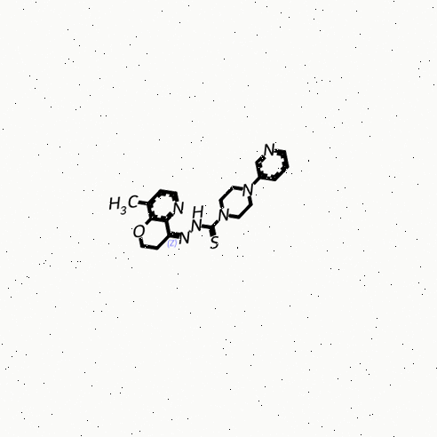 Cc1ccnc2c1OCC/C2=N/NC(=S)N1CCN(c2cccnc2)CC1